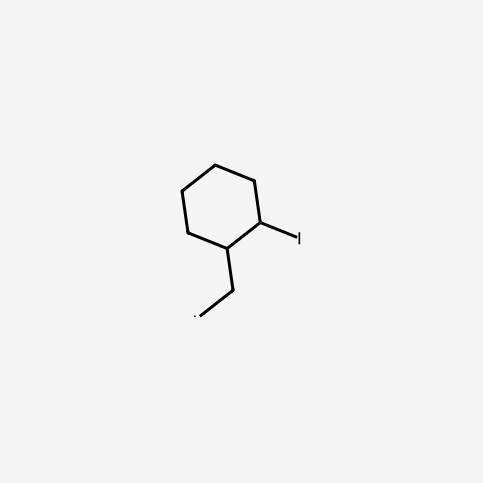 [CH2]CC1CCCCC1I